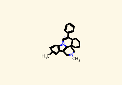 Cc1ccc2c(c1)c1c(n2/C=C(/c2ccccc2)C2CCCCC2)CCN(C)C1